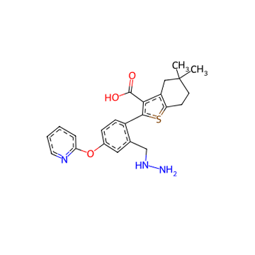 CC1(C)CCc2sc(-c3ccc(Oc4ccccn4)cc3CNN)c(C(=O)O)c2C1